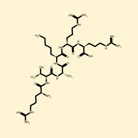 C[C@H](NC(=O)[C@@H](NC(=O)[C@@H](N)CCCNC(=N)N)[C@@H](C)O)C(=O)N[C@@H](CCCCN)C(=O)N[C@@H](CCCNC(=N)N)C(=O)N[C@@H](CCCNC(=N)N)C(=O)O